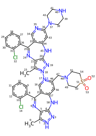 Cc1[nH]nc2c1N=C(c1ccccc1Cl)c1c[n+](-n3nc4c(c3C)N=C(c3ccccc3Cl)c3cnc(N5CCNCC5)cc3N4)c(CN3CCS(=O)(=O)CC3)cc1N2